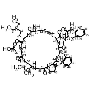 CCN(CC)CC[C@@H]1NC(=O)[C@@H](N)CSSC[C@@H](C(=O)N[C@@H](Cc2cccnc2)C(N)=O)NC(=O)[C@H](Cc2ccccc2)NC(=O)[C@@H]2CCCN2C(=O)CNC(=O)[C@H](C(C)C)NC(=O)[C@H](CC(=O)O)NC1=O